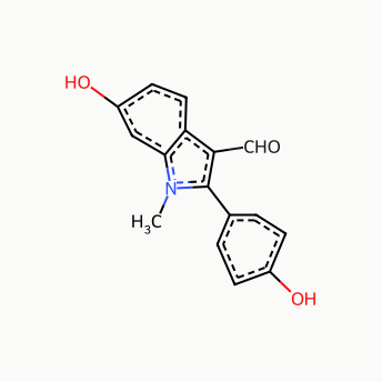 Cn1c(-c2ccc(O)cc2)c(C=O)c2ccc(O)cc21